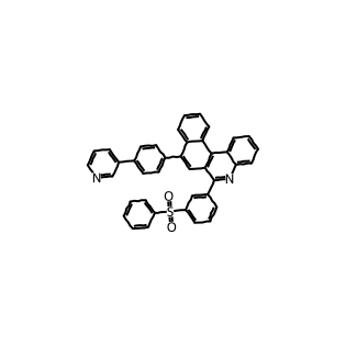 O=S(=O)(c1ccccc1)c1cccc(-c2nc3ccccc3c3c2cc(-c2ccc(-c4cccnc4)cc2)c2ccccc23)c1